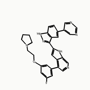 Fc1cc(OCCN2CCCC2)cc(-c2cncc3[nH]c(-c4n[nH]c5ccc(-c6cncnc6)cc45)cc23)c1